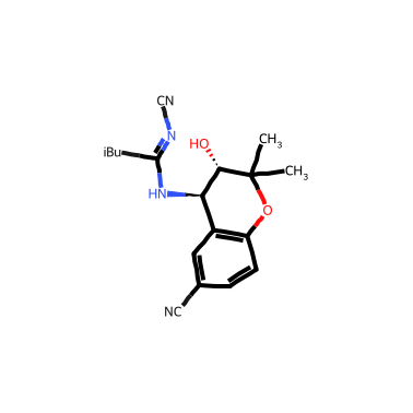 CCC(C)C(=NC#N)N[C@@H]1c2cc(C#N)ccc2OC(C)(C)[C@H]1O